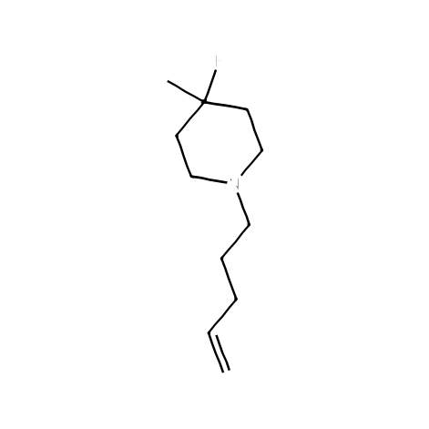 C=CCCCN1CCC(C)(F)CC1